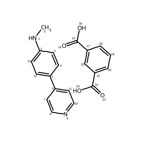 CNc1ccc(-c2ccncc2)cc1.O=C(O)c1cccc(C(=O)O)c1